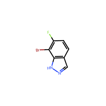 Fc1ccc2cn[nH]c2c1Br